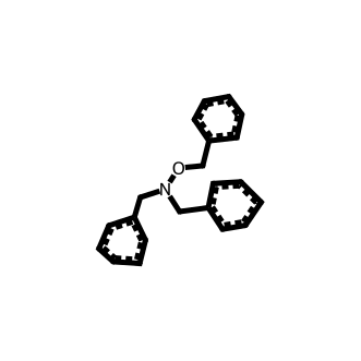 c1ccc(CON(Cc2ccccc2)Cc2ccccc2)cc1